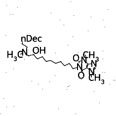 CCCCCCCCCCCCN(C)CC(O)CCCCCCCCCn1c(=O)c2c(ncn2C)n(C)c1=O